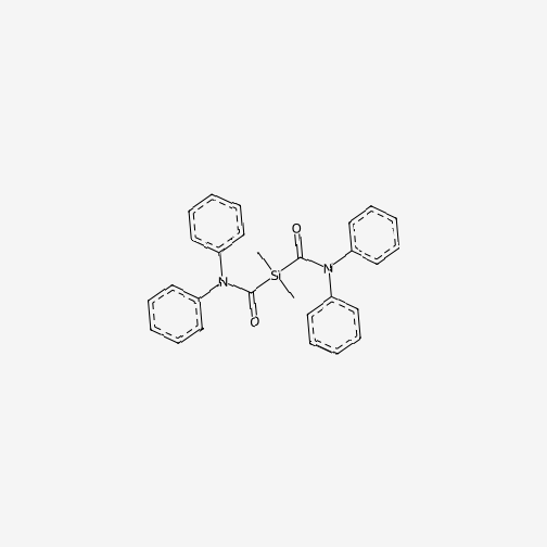 C[Si](C)(C(=O)N(c1ccccc1)c1ccccc1)C(=O)N(c1ccccc1)c1ccccc1